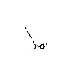 Cc1oc(-c2ccc3c(c2)OCO3)nc1CCOC/C=C/CSCC(=O)O.[NaH]